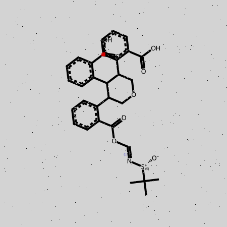 CC(C)(C)[S@@+]([O-])/N=C/OC(=O)c1ccccc1C1COCC(c2ccccc2C(=O)O)C1c1ccccc1C(=O)O